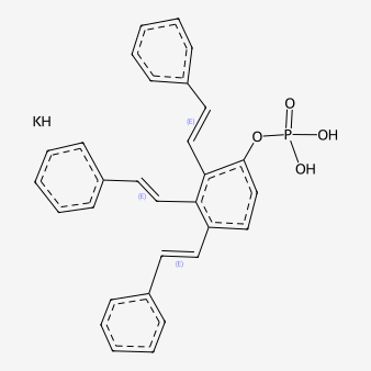 O=P(O)(O)Oc1ccc(/C=C/c2ccccc2)c(/C=C/c2ccccc2)c1/C=C/c1ccccc1.[KH]